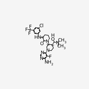 CN(C)C(O)[C@H]1CCN(c2ncnc(N)c2F)C[C@@H]1N1CCC[C@H](Nc2cc(Cl)cc(C(F)(F)F)c2)C1=O